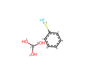 F.OB(O)O.[S]c1ccccc1